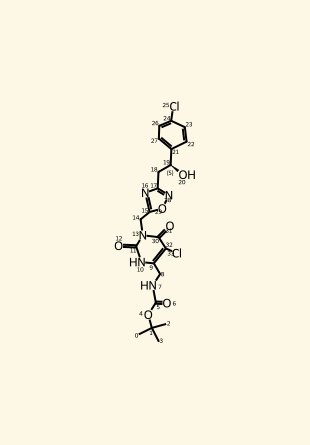 CC(C)(C)OC(=O)NCc1[nH]c(=O)n(Cc2nc(C[C@H](O)c3ccc(Cl)cc3)no2)c(=O)c1Cl